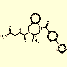 C[C@@H]1CN(C(=O)c2ccc(-n3cccn3)cc2)c2ccccc2CN1C(=O)NCC(N)=O